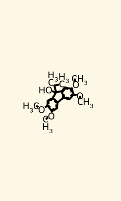 COc1cc2c(cc1OC)C(O)(C(C)C)c1cc(OC)c(OC)cc1-2